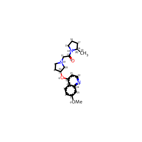 COc1ccc2c(O[C@H]3CCN(CC(=O)N4CCC[C@H]4C)C3)ccnc2c1